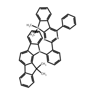 CC1(C)c2ccccc2-c2ccc3c4ccccc4n(-c4ccccc4-c4nc(-c5ccccc5)c5c(n4)[Si](C)(C)c4ccccc4-5)c3c21